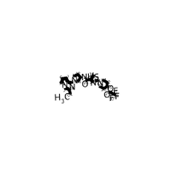 CCc1cn2cccc2c(N2CC[C@H](NC(=O)c3csc(N4CCC(OC(=O)C(F)(F)F)CC4)n3)C2)n1